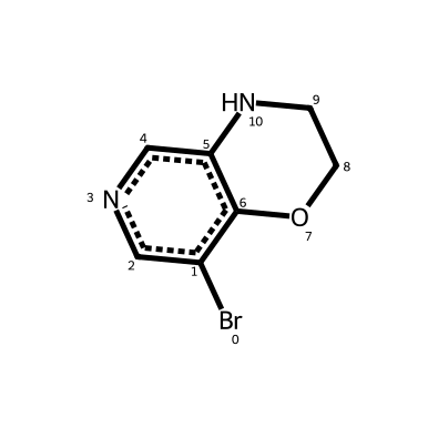 Brc1cncc2c1OCCN2